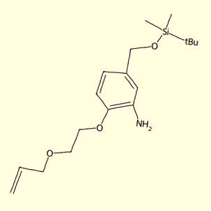 C=CCOCCOc1ccc(CO[Si](C)(C)C(C)(C)C)cc1N